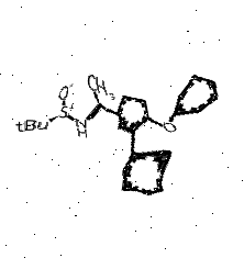 C[C@H](N[S@+]([O-])C(C)(C)C)c1ccc(Oc2ccccc2)c(-c2ccccc2)c1